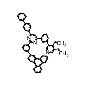 C=Cc1cncc(-c2cccc(-c3cc(-c4ccc(-c5ccccc5)cc4)nc(-c4cccc(-c5ccc6c7ccccc7c7ccccc7c6c5)c4)n3)c2)c1C=C